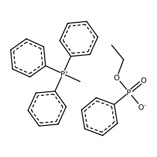 CCOP(=O)([O-])c1ccccc1.C[P+](c1ccccc1)(c1ccccc1)c1ccccc1